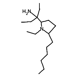 CCCCCCC1CCC(C(N)(CC)CC)N1CC